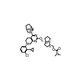 CN(C)C(=O)OC[C@H]1CC[C@@]2(COc3nc4c(c(N5CC6CCC(C5)N6)n3)CCN(c3cccc(Cl)c3C3CC3)C4)CCCN12